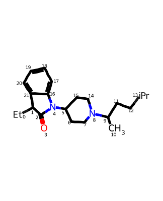 CCC1C(=O)N(C2CCN(C(C)CCC(C)C)CC2)c2ccccc21